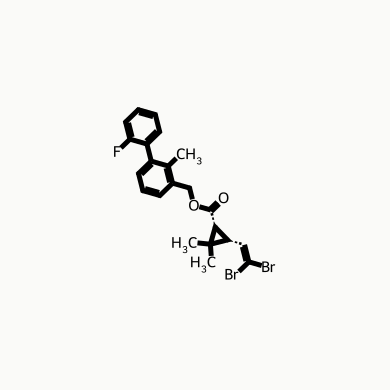 Cc1c(COC(=O)[C@@H]2[C@H](C=C(Br)Br)C2(C)C)cccc1-c1ccccc1F